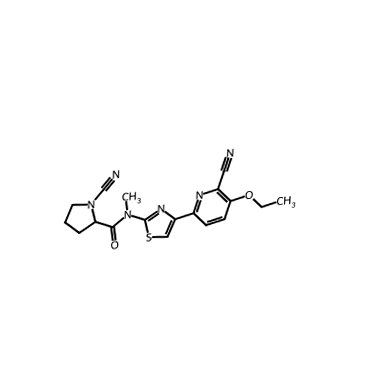 CCOc1ccc(-c2csc(N(C)C(=O)C3CCCN3C#N)n2)nc1C#N